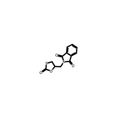 O=C1OC(CN2C(=O)c3ccccc3C2=O)CS1